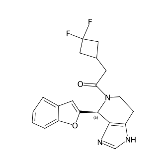 O=C(CC1CC(F)(F)C1)N1CCc2[nH]cnc2[C@H]1c1cc2ccccc2o1